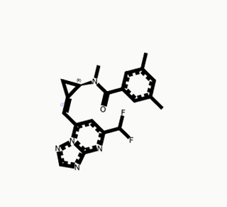 Cc1cc(C)cc(C(=O)N(C)[C@@H]2C/C2=C/c2cc(C(F)F)nc3ncnn23)c1